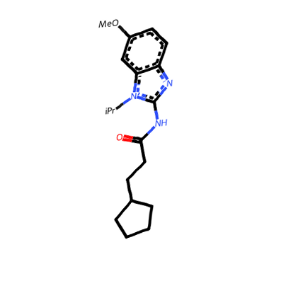 COc1ccc2nc(NC(=O)CCC3CCCC3)n(C(C)C)c2c1